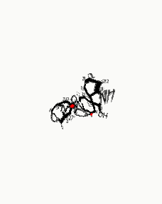 COC(=O)N1C2COCC1CC(N1CCC3(CC1)c1ccccc1NC3O)C2